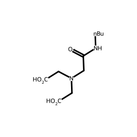 CCCCNC(=O)CN(CC(=O)O)CC(=O)O